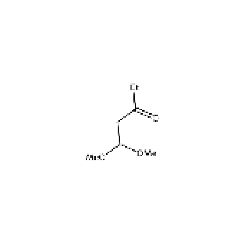 CCC(=O)CC(OC)OC